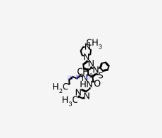 C=C\C=C/C=C(C)/N=c1/c(C(=O)NCc2cnc(C)cn2)c2sc3ccccc3n2c2nc(N3CCCN(C)CC3)ccc12